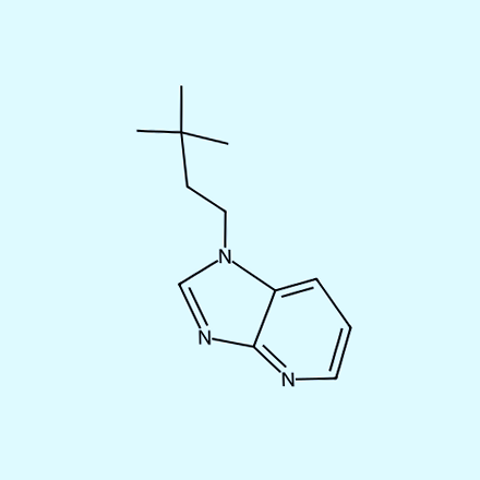 CC(C)(C)CCn1cnc2ncccc21